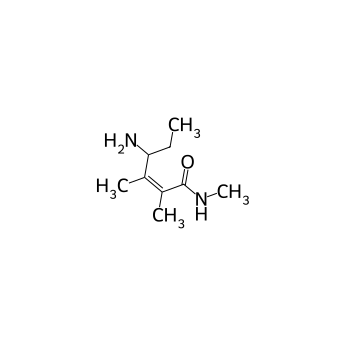 CCC(N)C(C)=C(C)C(=O)NC